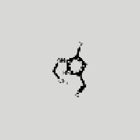 CCO.O=Cc1cc(Br)c[nH]1